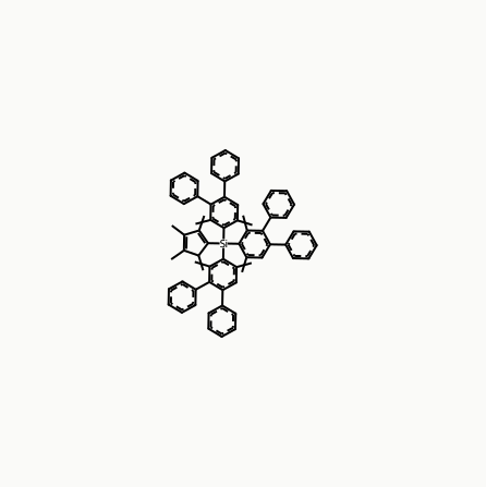 CC1=C(C)C(C)C([Si](c2c(C)cc(-c3ccccc3)c(-c3ccccc3)c2C)(c2c(C)cc(-c3ccccc3)c(-c3ccccc3)c2C)c2c(C)cc(-c3ccccc3)c(-c3ccccc3)c2C)=C1C